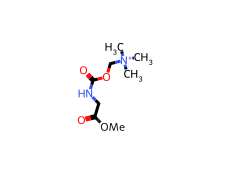 COC(=O)CNC(=O)OC[N+](C)(C)C